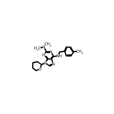 Cc1ccc(CNc2nc(N(C)C)nc3c2ncn3C2CCCCO2)cc1